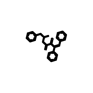 C=C(CN(C)Cc1ccccc1)C(=O)/C(=C\c1ccccc1)c1ccccc1